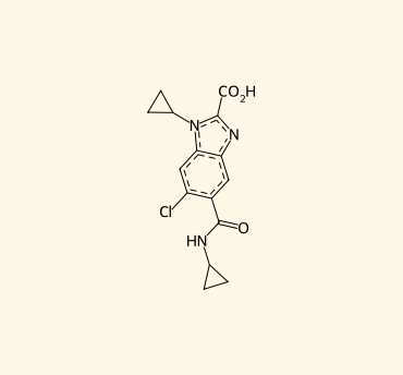 O=C(NC1CC1)c1cc2nc(C(=O)O)n(C3CC3)c2cc1Cl